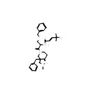 CN1N=C2CCN(C(=O)C(COCc3ccccc3)NC(=O)C=CC(C)(C)N)CC2(Cc2ccccc2)C1=O